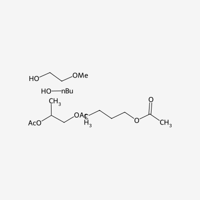 CC(=O)OCC(C)OC(C)=O.CCCCO.CCCCOC(C)=O.COCCO